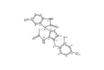 O=C1C[C@]2(C(=O)Nc3ccc(Cl)cc32)c2cnn(Cc3ccc(Cl)cc3F)c2N1